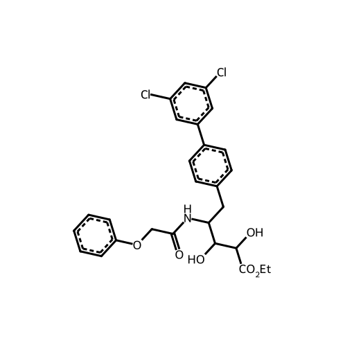 CCOC(=O)C(O)C(O)C(Cc1ccc(-c2cc(Cl)cc(Cl)c2)cc1)NC(=O)COc1ccccc1